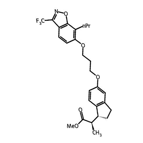 CCCc1c(OCCCOc2ccc3c(c2)CC[C@@H]3[C@@H](C)C(=O)OC)ccc2c(C(F)(F)F)noc12